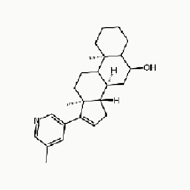 Cc1cncc(C2=CC[C@H]3[C@@H]4CC(O)C5CCCC[C@]5(C)C4CC[C@]23C)c1